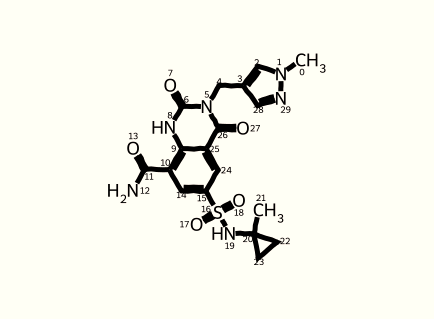 Cn1cc(Cn2c(=O)[nH]c3c(C(N)=O)cc(S(=O)(=O)NC4(C)CC4)cc3c2=O)cn1